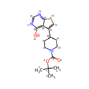 CC(C)(C)OC(=O)N1CCC(c2csc3ncnc(O)c23)CC1